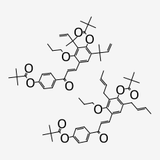 C/C=C/Cc1cc(/C=C/C(=O)c2ccc(OC(=O)C(C)(C)C)cc2)c(OCCC)c(C/C=C/C)c1OC(=O)C(C)(C)C.C=CC(C)(C)c1cc(/C=C/C(=O)c2ccc(OC(=O)C(C)(C)C)cc2)c(OCCC)c(C(C)(C)C=C)c1OC(=O)C(C)(C)C